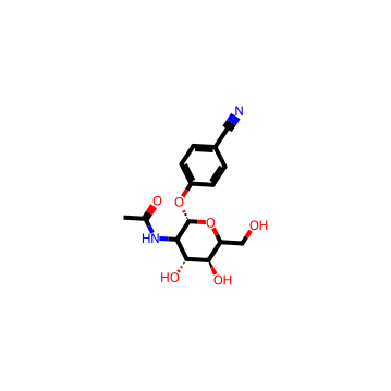 CC(=O)NC1[C@H](Oc2ccc(C#N)cc2)OC(CO)[C@@H](O)[C@@H]1O